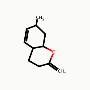 C=C1CCC2C=CC(C)CC2O1